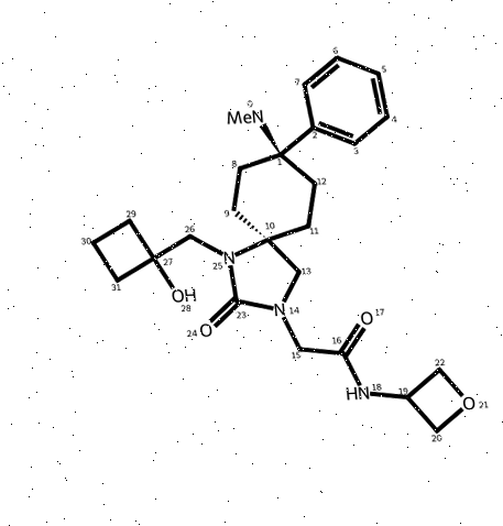 CN[C@]1(c2ccccc2)CC[C@]2(CC1)CN(CC(=O)NC1COC1)C(=O)N2CC1(O)CCC1